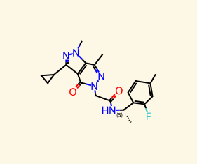 Cc1ccc([C@H](C)NC(=O)Cn2nc(C)c3c(c(C4CC4)nn3C)c2=O)c(F)c1